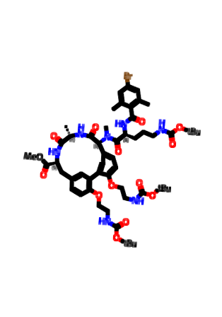 COC(=O)[C@@H]1Cc2ccc(OCCNC(=O)OC(C)(C)C)c(c2)-c2cc(ccc2OCCNC(=O)OC(C)(C)C)[C@H](N(C)C(=O)[C@H](CCCNC(=O)OC(C)(C)C)NC(=O)c2c(C)cc(Br)cc2C)C(=O)N[C@@H](C)C(=O)N1